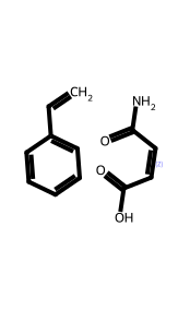 C=Cc1ccccc1.NC(=O)/C=C\C(=O)O